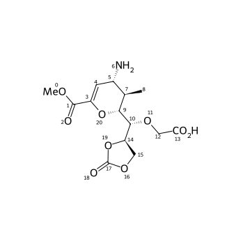 COC(=O)C1=C[C@H](N)[C@@H](C)[C@H]([C@H](OCC(=O)O)[C@H]2COC(=O)O2)O1